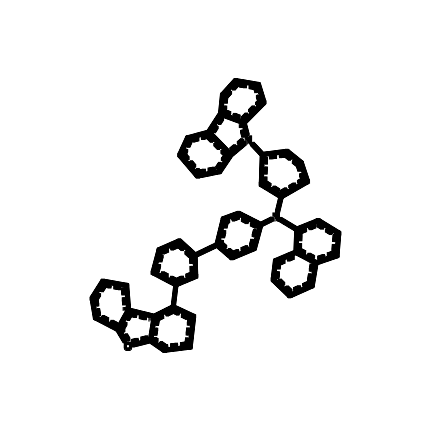 c1cc(-c2ccc(N(c3cccc(-n4c5ccccc5c5ccccc54)c3)c3cccc4ccccc34)cc2)cc(-c2cccc3oc4ccccc4c23)c1